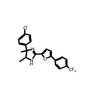 CC1NC(c2ccc(-c3ccc(C(F)(F)F)cc3)o2)=NC1(C)c1ccc(Cl)cc1